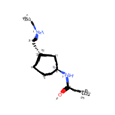 CC(C)(C)NC[C@H]1CC[C@H](NC(=O)C(C)(C)C)C1